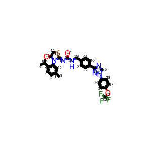 Cc1ccc(C(C)C)c(N2C(=O)CS/C2=N\C(=O)NCc2ccc(-c3ncn(-c4ccc(OC(F)(F)F)cc4)n3)cc2)c1